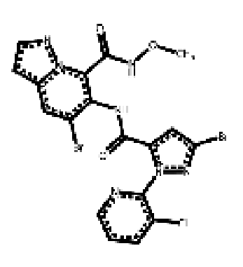 CONC(=O)c1c(NC(=O)c2cc(Br)nn2-c2ncccc2Cl)c(Br)cc2ccnn12